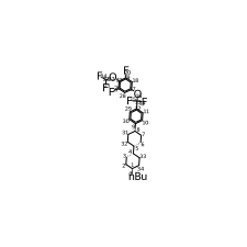 CCCC[C@H]1CC[C@H]([C@H]2CC[C@H](c3ccc(C(F)(F)Oc4cc(F)c(OC(F)F)c(F)c4)cc3)CC2)CC1